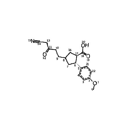 COc1ccc([C@@H]2CC(CCC(=O)CC#N)C[C@H]2C(=O)O)cc1